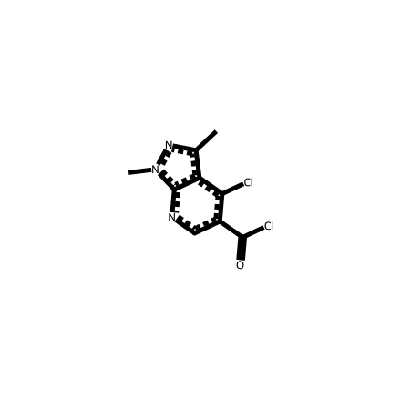 Cc1nn(C)c2ncc(C(=O)Cl)c(Cl)c12